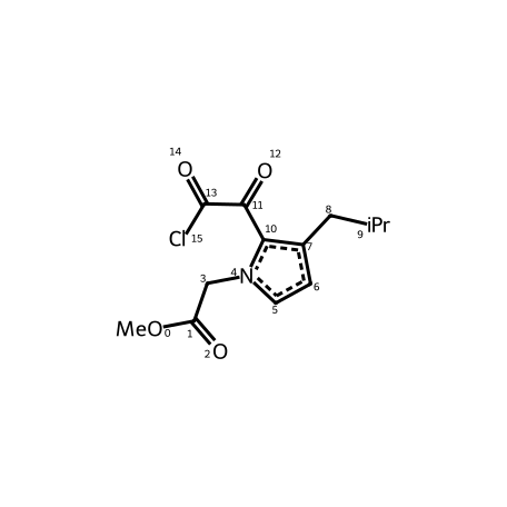 COC(=O)Cn1ccc(CC(C)C)c1C(=O)C(=O)Cl